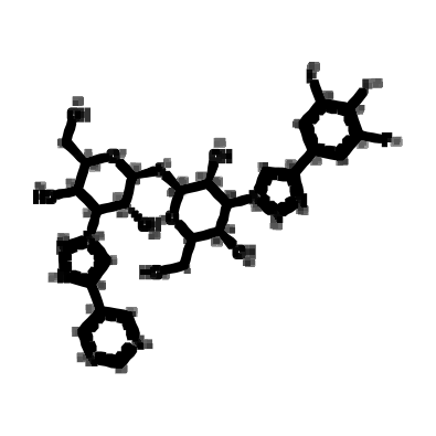 OCC1O[C@@H](S[C@@H]2O[C@H](CO)C(O)C(n3cc(-c4cncnc4)nn3)[C@H]2O)[C@@H](O)C(n2cc(-c3cc(F)c(F)c(F)c3)nn2)[C@H]1O